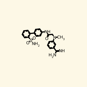 CN(CC(=O)Nc1ccc(-c2ccccc2S(N)(=O)=O)cc1)c1cccc(C(=N)N)c1